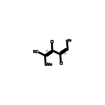 CCC/C=C(Cl)\C(Cl)=C(\C#N)SC